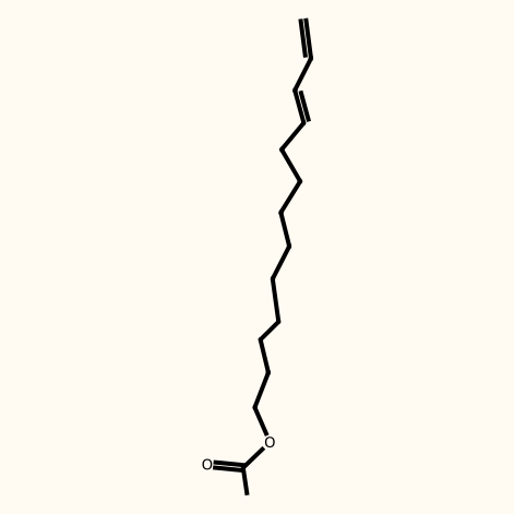 C=CC=CCCCCCCCCCOC(C)=O